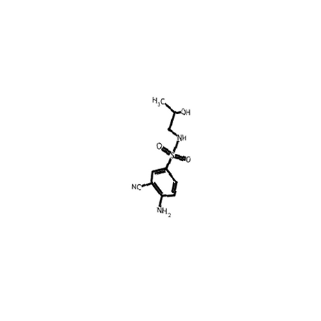 CC(O)CNS(=O)(=O)c1ccc(N)c(C#N)c1